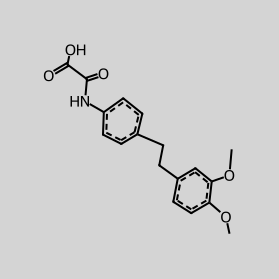 COc1ccc(CCc2ccc(NC(=O)C(=O)O)cc2)cc1OC